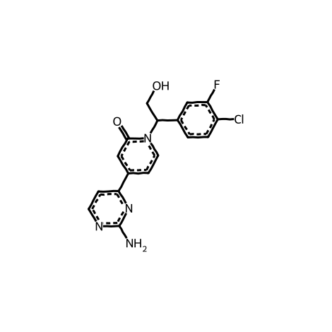 Nc1nccc(-c2ccn(C(CO)c3ccc(Cl)c(F)c3)c(=O)c2)n1